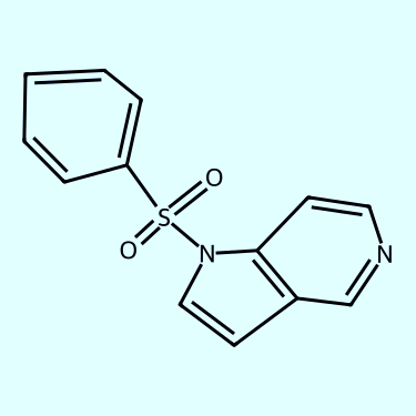 O=S(=O)(c1ccccc1)n1ccc2cnccc21